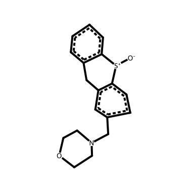 [O-][S+]1c2ccccc2Cc2cc(CN3CCOCC3)ccc21